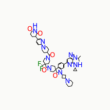 CC(C)n1cnc2cc(-c3ccc4c(c3)N(C3CC(N5CCCCC5)C3)C(=O)C43CCN(C(=O)C4(C(F)F)CCN(C(=O)C5CCN(c6ccc(C7CCC(=O)NC7=O)cn6)CC5)CC4)CC3)nc(NC3CC3)c21